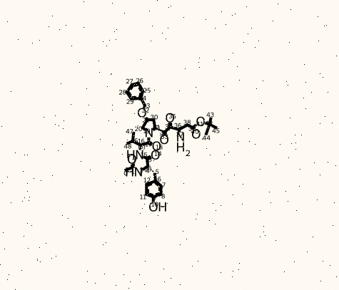 CC(=O)N[C@@H](Cc1ccc(O)cc1)C(=O)N[C@H](C(=O)N1CC(OCc2ccccc2)C[C@H]1C(=O)C(=O)C(N)CC(=O)OC(C)(C)C)C(C)C